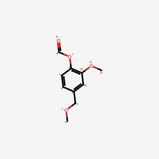 COCc1ccc(OC=O)c(OC)c1